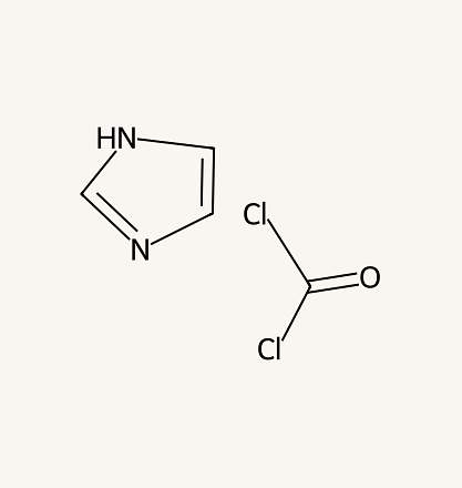 O=C(Cl)Cl.c1c[nH]cn1